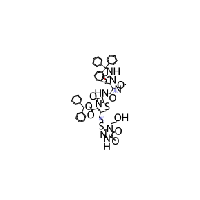 CO/N=C(/C(=O)NC1C(=O)N2C(C(=O)OC(c3ccccc3)c3ccccc3)=C(/C=C/Sc3n[nH]c(=O)c(=O)n3CCO)CSC12)c1csc(NC(c2ccccc2)(c2ccccc2)c2ccccc2)n1